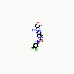 CC1(C)C2=CN=C(NC3CCOCC3)NC2CN1C(=O)NCc1ccc(Cl)c(Cl)c1